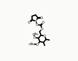 CCCCOC1C(COC(=O)ON2C(=O)CCC2=O)OC(C)C(C)C1OCCCC